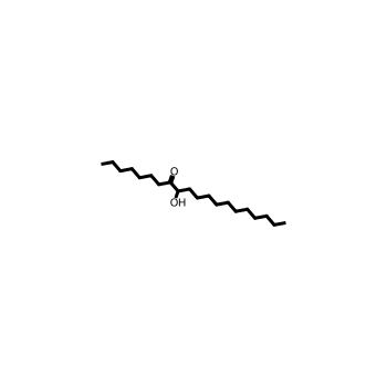 CCCCCCCCCCCC(O)C(=O)CCCCCCC